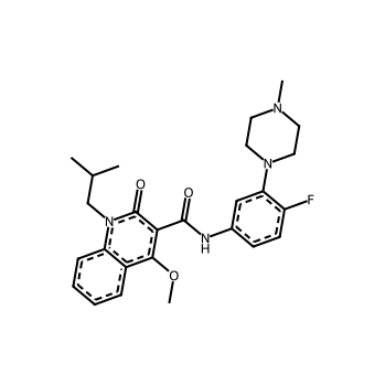 COc1c(C(=O)Nc2ccc(F)c(N3CCN(C)CC3)c2)c(=O)n(CC(C)C)c2ccccc12